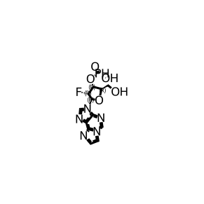 O=[PH](O)O[C@H]1[C@@H](F)[C@H](n2cnc3c2ncn2ccnc32)O[C@@H]1CO